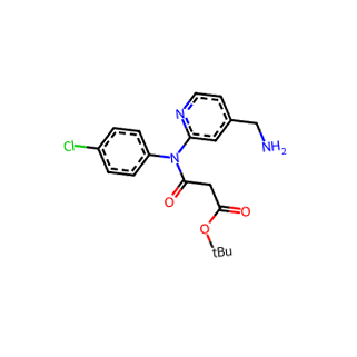 CC(C)(C)OC(=O)CC(=O)N(c1ccc(Cl)cc1)c1cc(CN)ccn1